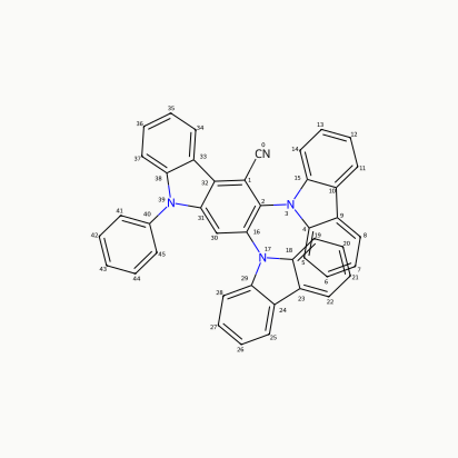 N#Cc1c(-n2c3ccccc3c3ccccc32)c(-n2c3ccccc3c3ccccc32)cc2c1c1ccccc1n2-c1ccccc1